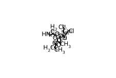 C=C(C)C(=O)OC(C)(CCOC(=O)C(=C)C=N)CCOC(=O)N(CCCl)CCCl